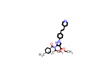 CCOC(=O)c1cn(-c2ccc(/C=C/c3ccncc3)cc2)nc1N(C(=O)[C@H]1CC[C@H](C)CC1)C(C)C